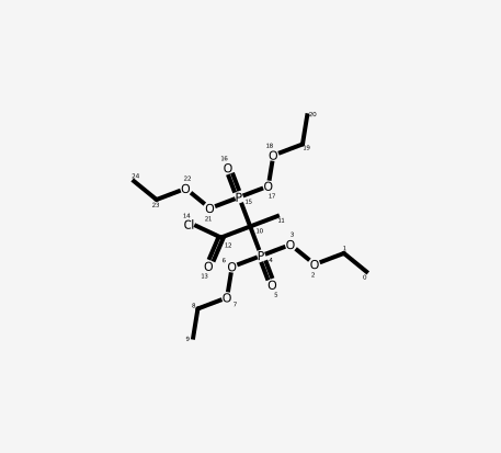 CCOOP(=O)(OOCC)C(C)(C(=O)Cl)P(=O)(OOCC)OOCC